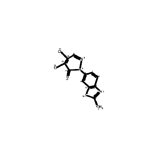 Cc1nc2ccc(-n3ncc(Cl)c(Cl)c3=O)cc2s1